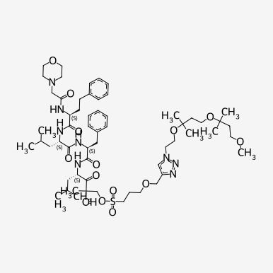 COCCC(C)(C)OCCC(C)(C)OCCn1cc(COCCCS(=O)(=O)OCC(C)(O)C(=O)[C@H](CC(C)C)NC(=O)[C@H](Cc2ccccc2)NC(=O)[C@H](CC(C)C)NC(=O)[C@H](CCc2ccccc2)NC(=O)CN2CCOCC2)nn1